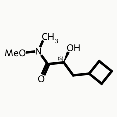 CON(C)C(=O)[C@@H](O)CC1CCC1